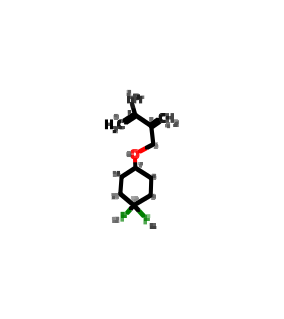 C=C(CCC)C(=C)COC1CCC(F)(F)CC1